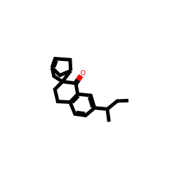 CCC(C)c1ccc2c(c1)C(=O)C1(CC2)CC2=CCC1C2